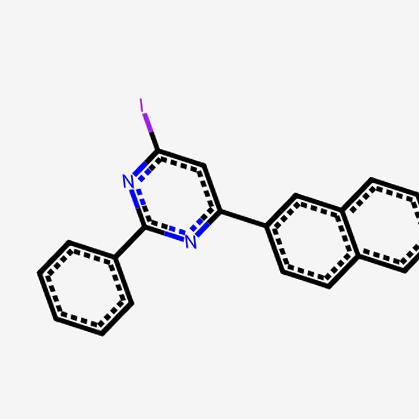 Ic1cc(-c2ccc3ccccc3c2)nc(-c2ccccc2)n1